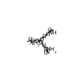 C=CC(=O)NCOCCOCCOCC(CC)(COCCOCCOC(N)C(=O)C=C)COCCOC(N)C(=O)C=C